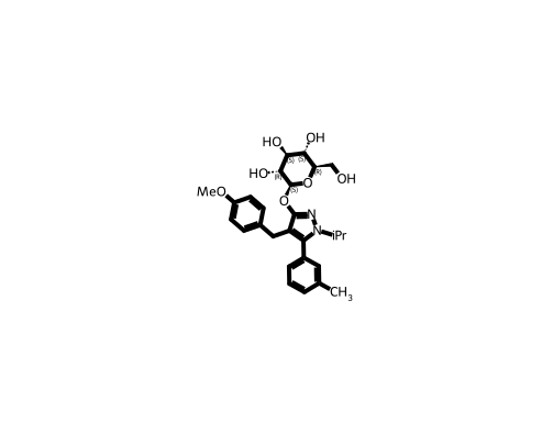 COc1ccc(Cc2c(O[C@@H]3O[C@H](CO)[C@@H](O)[C@H](O)[C@H]3O)nn(C(C)C)c2-c2cccc(C)c2)cc1